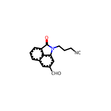 [C-]#[N+]CCCN1C(=O)c2cccc3cc(C=O)cc1c23